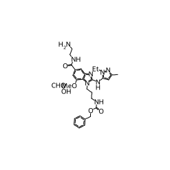 CCn1nc(C)cc1Nc1nc2cc(C(=O)NCCN)cc(OC)c2n1CCCNC(=O)OCc1ccccc1.O=CO